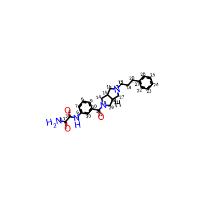 NC(=O)C(=O)Nc1cccc(C(=O)N2CC3CN(CC[CH]c4ccccc4)C[C@H]3C2)c1